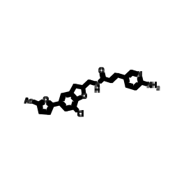 CC(=O)c1ccc(-c2cc(Cl)c3c(c2)CC(CNC(=O)C=Cc2ccc(N)nc2)O3)o1